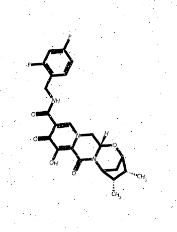 C[C@@H]1C2CC(O[C@H]3Cn4cc(C(=O)NCc5ccc(F)cc5F)c(=O)c(O)c4C(=O)N23)[C@@H]1C